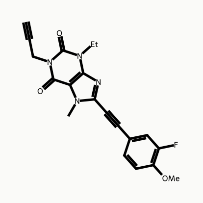 C#CCn1c(=O)c2c(nc(C#Cc3ccc(OC)c(F)c3)n2C)n(CC)c1=O